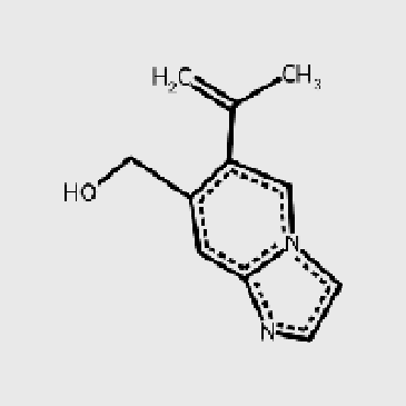 C=C(C)c1cn2ccnc2cc1CO